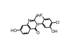 CC(C)c1nc2cc(O)ccc2c(=O)n1-c1cc(O)c(Cl)cc1F